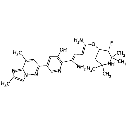 Cc1cn2nc(-c3cnc(/C(N)=C/C=C(\N)O[C@H]4CC(C)(C)NC(C)(C)[C@H]4F)c(O)c3)cc(C)c2n1